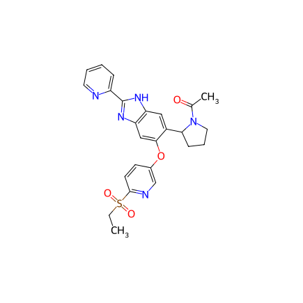 CCS(=O)(=O)c1ccc(Oc2cc3nc(-c4ccccn4)[nH]c3cc2C2CCCN2C(C)=O)cn1